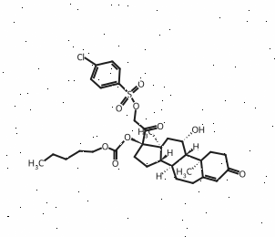 CCCCCOC(=O)O[C@]1(C(=O)COS(=O)(=O)c2ccc(Cl)cc2)CC[C@H]2[C@@H]3CCC4=CC(=O)CC[C@]4(C)[C@H]3[C@@H](O)C[C@@]21C